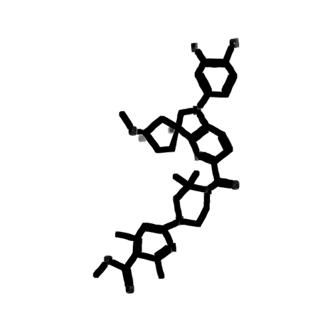 COC(=O)c1c(C)cc(N2CCN(C(=O)c3ccc4c(n3)[C@@]3(CC[C@H](OC)C3)CN4c3ccc(Cl)c(F)c3)C(C)(C)C2)nc1C